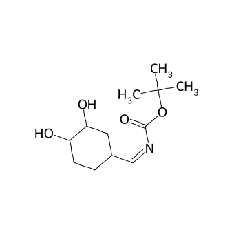 CC(C)(C)OC(=O)/N=C\C1CCC(O)C(O)C1